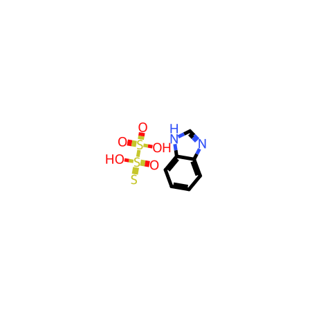 O=S(=O)(O)S(=O)(O)=S.c1ccc2[nH]cnc2c1